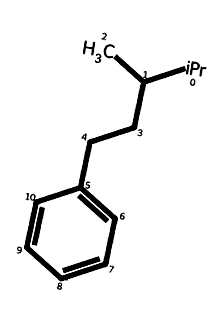 CC(C)C(C)CCc1cc[c]cc1